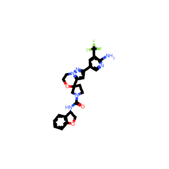 Nc1ncc(-c2cc3n(n2)CCOC32CCN(C(=O)N[C@@H]3COc4ccccc43)C2)cc1C(F)(F)F